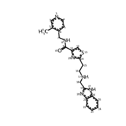 Cc1cnccc1CNC(=O)c1csc(CCNCc2nc3ccccc3[nH]2)n1